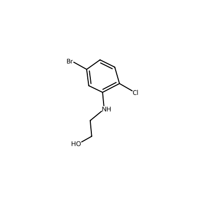 OCCNc1cc(Br)ccc1Cl